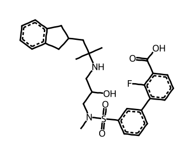 CN(CC(O)CNC(C)(C)CC1Cc2ccccc2C1)S(=O)(=O)c1cccc(-c2cccc(C(=O)O)c2F)c1